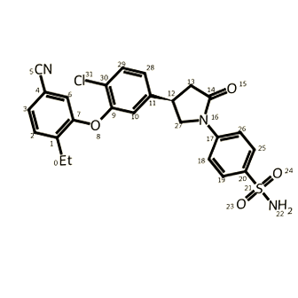 CCc1ccc(C#N)cc1Oc1cc([C@H]2CC(=O)N(c3ccc(S(N)(=O)=O)cc3)C2)ccc1Cl